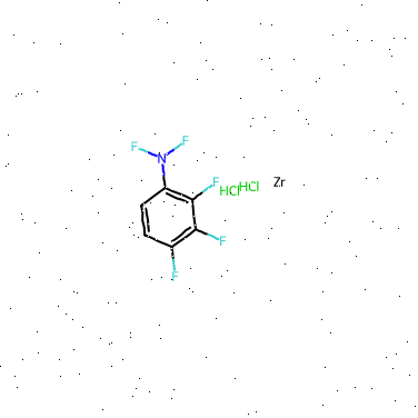 Cl.Cl.Fc1ccc(N(F)F)c(F)c1F.[Zr]